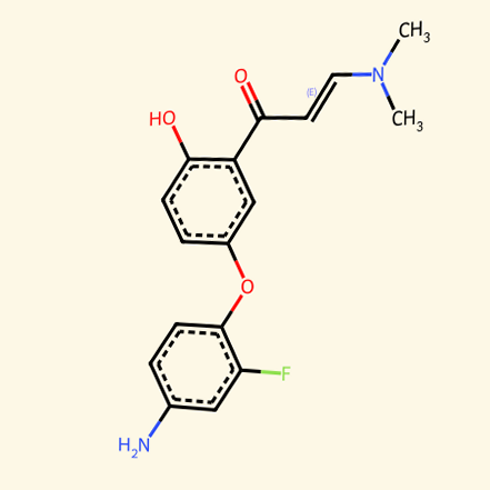 CN(C)/C=C/C(=O)c1cc(Oc2ccc(N)cc2F)ccc1O